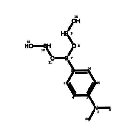 CN(C)c1ccc(B(OBO)OBO)cc1